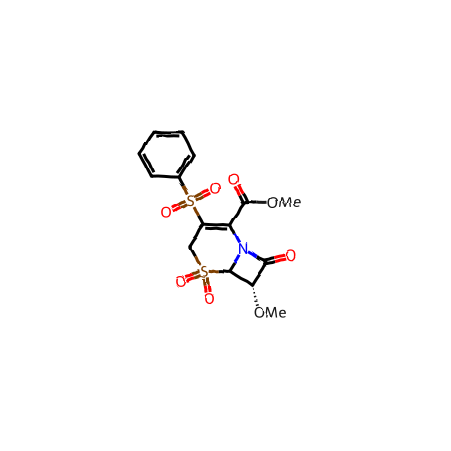 COC(=O)C1=C(S(=O)(=O)c2ccccc2)CS(=O)(=O)C2[C@@H](OC)C(=O)N12